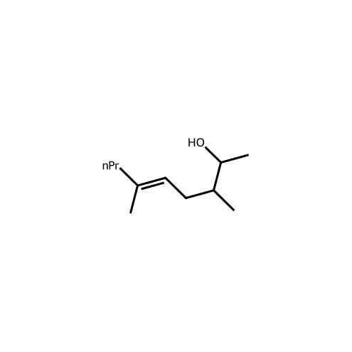 CCCC(C)=CCC(C)C(C)O